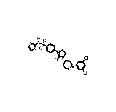 O=C1[C@@H](C2CCO[C@@H](c3cc(Cl)cc(Cl)c3)C2)CCN1c1ccc(S(=O)(=O)Nc2nccs2)cc1